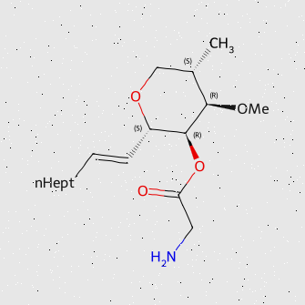 CCCCCCCC=C[C@@H]1OC[C@H](C)[C@@H](OC)[C@H]1OC(=O)CN